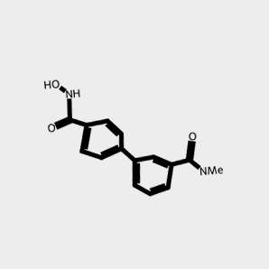 CNC(=O)c1cccc(-c2ccc(C(=O)NO)cc2)c1